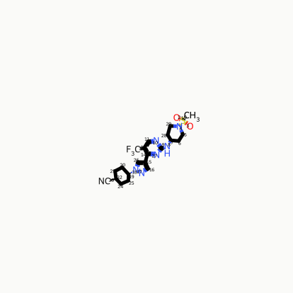 CS(=O)(=O)N1CCC(Nc2ncc(C(F)(F)F)c(-c3cnn([C@H]4CC[C@H](C#N)CC4)c3)n2)CC1